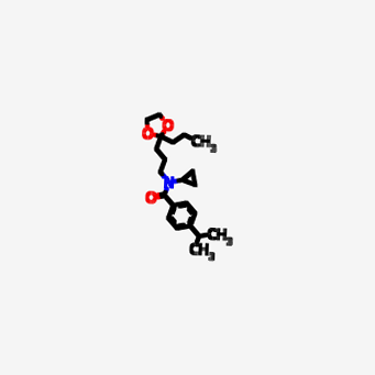 CCCC1(CCCN(C(=O)c2ccc(C(C)C)cc2)C2CC2)OCCO1